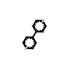 [c]1cc(-c2ccncc2)ccn1